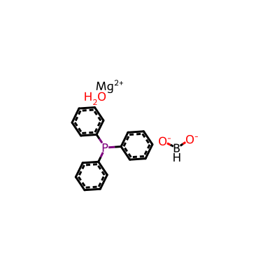 O.[Mg+2].[O-]B[O-].c1ccc(P(c2ccccc2)c2ccccc2)cc1